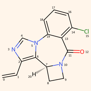 C=Cc1ncn2c1[C@@H]1CCN1C(=O)c1c(Cl)cccc1-2